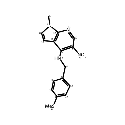 CSc1ccc(CNc2c([N+](=O)[O-])cnc3c2ccn3C)cc1